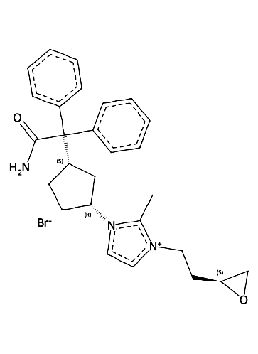 Cc1n([C@@H]2CC[C@H](C(C(N)=O)(c3ccccc3)c3ccccc3)C2)cc[n+]1CC[C@H]1CO1.[Br-]